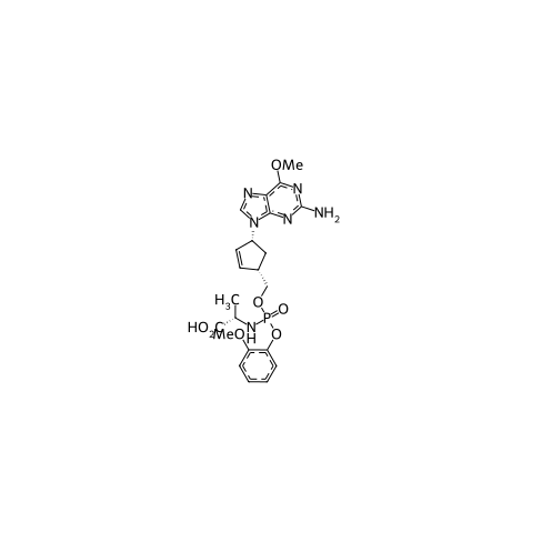 COc1ccccc1OP(=O)(N[C@@H](C)C(=O)O)OC[C@@H]1C=C[C@H](n2cnc3c(OC)nc(N)nc32)C1